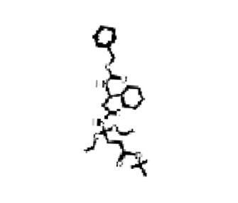 CCOC(CCC(=O)OC(C)(C)C)(NC(=O)CC(NC(=O)OCc1ccccc1)C1CCCCC1)OCC